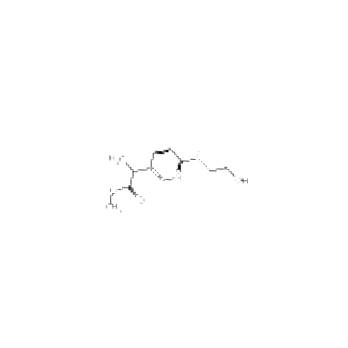 COC(=O)C(C)c1ccc(NCCO)nc1